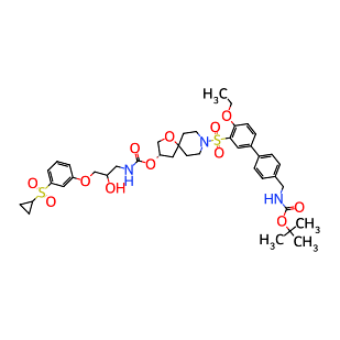 CCOc1ccc(-c2ccc(CNC(=O)OC(C)(C)C)cc2)cc1S(=O)(=O)N1CCC2(CC1)C[C@H](OC(=O)NCC(O)COc1cccc(S(=O)(=O)C3CC3)c1)CO2